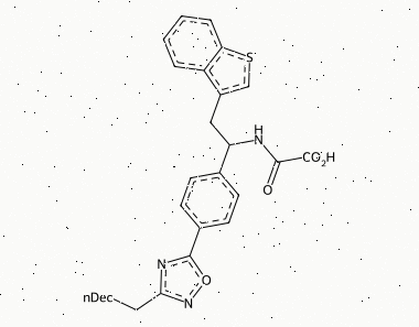 CCCCCCCCCCCc1noc(-c2ccc(C(Cc3csc4ccccc34)NC(=O)C(=O)O)cc2)n1